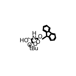 CC(C)(C)OC(=O)[C@H](CO)NC(=O)OCC1c2ccccc2-c2ccccc21